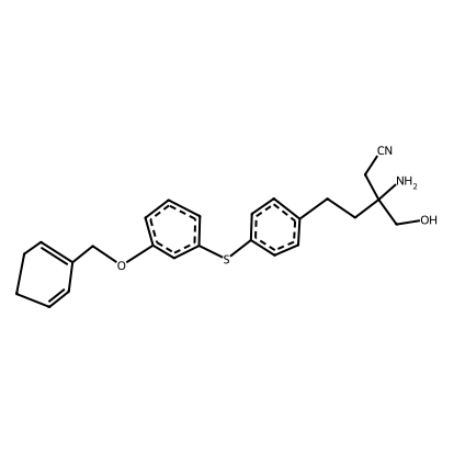 N#CCC(N)(CO)CCc1ccc(Sc2cccc(OCC3=CCCC=C3)c2)cc1